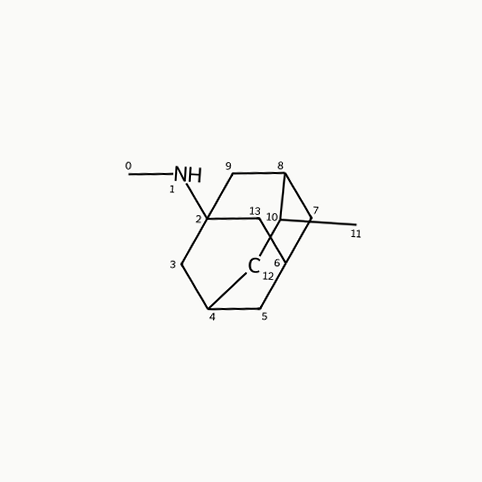 CNC12CC3CC(CC(C1)C(C)C3)C2